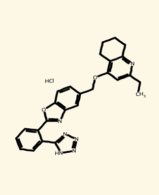 CCc1cc(OCc2ccc3oc(-c4ccccc4-c4nnn[nH]4)nc3c2)c2c(n1)CCCC2.Cl